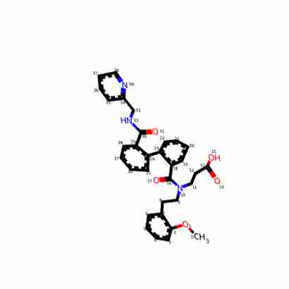 COc1ccccc1CCN(CCC(=O)O)C(=O)c1ccccc1-c1ccccc1C(=O)NCc1ccccn1